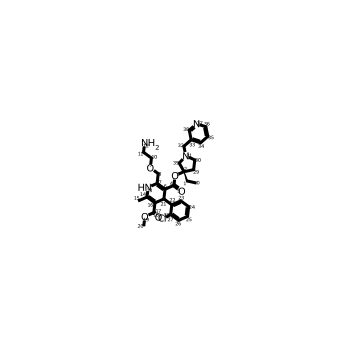 CC[C@]1(OC(=O)C2=C(COCCN)NC(C)=C(C(=O)OC)C2c2ccccc2Cl)CCN(Cc2cccnc2)C1